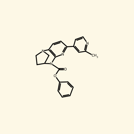 Cc1cc(-c2ccc3c(n2)N(C(=O)Oc2ccccc2)C2CCN3C2)ccn1